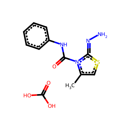 Cc1csc(=NN)n1C(=O)Nc1ccccc1.O=C(O)O